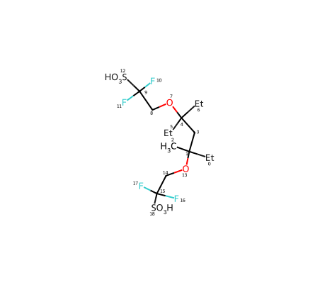 CCC(C)(CC(CC)(CC)OCC(F)(F)S(=O)(=O)O)OCC(F)(F)S(=O)(=O)O